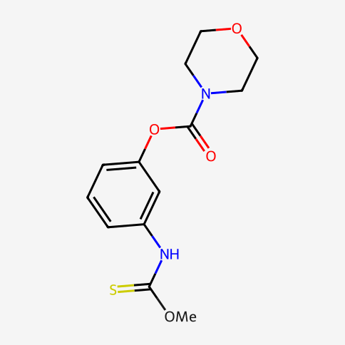 COC(=S)Nc1cccc(OC(=O)N2CCOCC2)c1